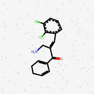 NC/C(=C\c1cccc(Cl)c1Cl)C(=O)C1=CCCC=C1